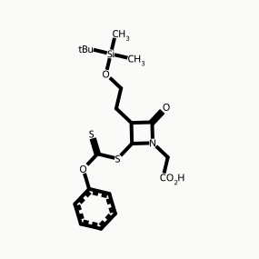 CC(C)(C)[Si](C)(C)OCCC1C(=O)N(CC(=O)O)C1SC(=S)Oc1ccccc1